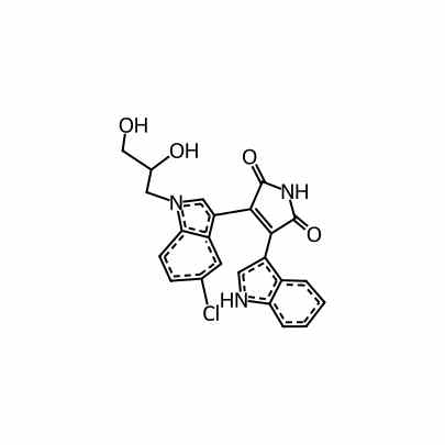 O=C1NC(=O)C(c2cn(CC(O)CO)c3ccc(Cl)cc23)=C1c1c[nH]c2ccccc12